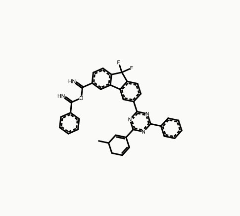 CC1C=C(c2nc(-c3ccccc3)nc(-c3ccc4c(c3)-c3cc(C(=N)OC(=N)c5ccccc5)ccc3C4(F)F)n2)C=CC1